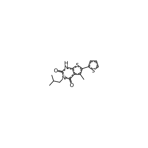 Cc1c(-c2cccs2)sc2[nH]c(=O)n(CC(C)C)c(=O)c12